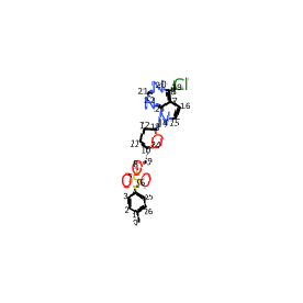 Cc1ccc(S(=O)(=O)OC[C@@H]2CCC(n3ccc4c(Cl)ncnc43)O2)cc1